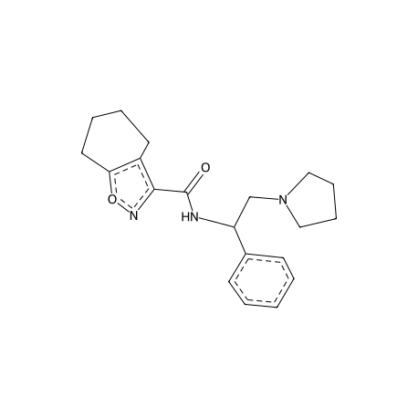 O=C(NC(CN1CCCC1)c1ccccc1)c1noc2c1CCCC2